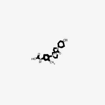 Cc1cc(NC(=O)O)ccc1N1CCC[C@@]2(CCN(C3CCC(O)CC3)C2=O)C1